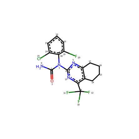 NC(=O)N(c1nc2c(c(C(F)(F)F)n1)CCCC2)c1c(F)cccc1Cl